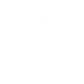 CC(C)c1cccc2c(N3CCOCC3)cccc12